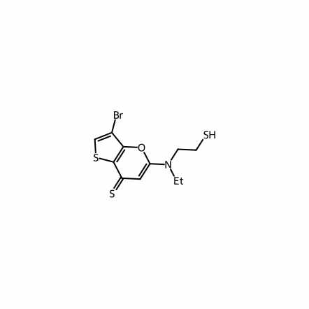 CCN(CCS)c1cc(=S)c2scc(Br)c2o1